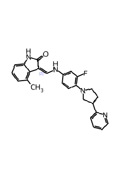 Cc1cccc2c1/C(=C/Nc1ccc(N3CCC(c4ccccn4)C3)c(F)c1)C(=O)N2